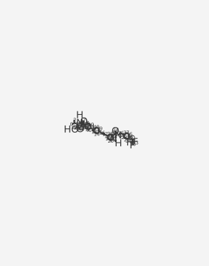 CC(C)[C@@H](NS(=O)(=O)N1CCN(c2ccc(C#Cc3ccnc(C(=O)NCc4ccc(SC(F)(F)F)cc4)c3)cc2)CC1)C(=O)O